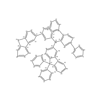 c1ccc(-c2ccc(-c3ccccc3)c(N(c3cccc(-c4ccc5sc6ccccc6c5c4)c3)c3ccc4c(c3)-c3ccccc3C4(c3ccccc3)c3ccccc3)c2)cc1